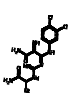 CC[C@@H](NC(=N)/N=C(/Nc1ccc(Cl)c(Cl)c1)C(=N)C(N)=O)C(N)=O